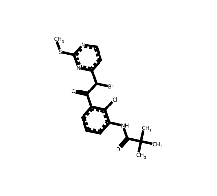 CSc1nccc(C(Br)C(=O)c2cccc(NC(=O)C(C)(C)C)c2Cl)n1